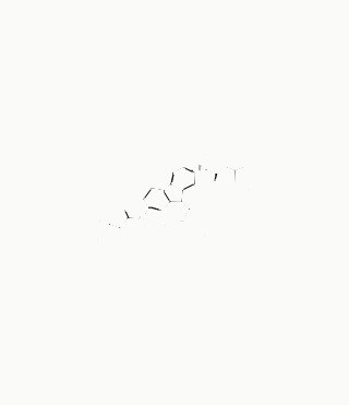 CC(C)CC(=O)Nc1ccc2c(c1)C(CC(C)C)c1cc(NC(=O)CC(C)C)ccc1-2